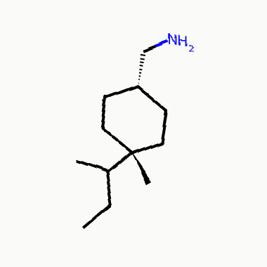 CCC(C)[C@]1(C)CC[C@H](CN)CC1